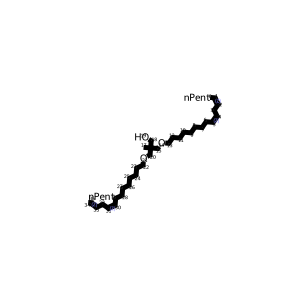 CCCCC/C=C\C/C=C\CCCCCCCCOCC(C)(CO)COCCCCCCCC/C=C\C/C=C\CCCCC